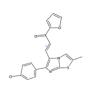 Cc1cn2c(/C=C/C(=O)c3ccco3)c(-c3ccc(Cl)cc3)nc2s1